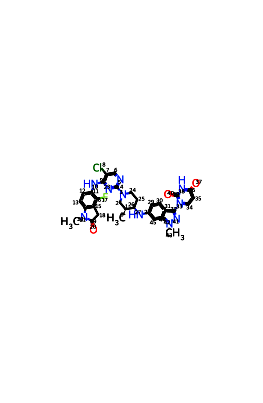 C[C@@H]1CN(c2ncc(Cl)c(Nc3ccc4c(c3F)CC(=O)N4C)n2)CC[C@H]1Nc1ccc2c(-n3ccc(=O)[nH]c3=O)nn(C)c2c1